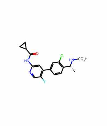 C[C@@H](NC(=O)O)c1ccc(-c2cc(NC(=O)C3CC3)ncc2F)cc1Cl